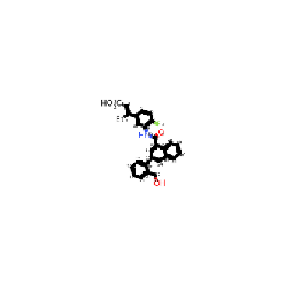 CC/C(=C\C(=O)O)c1ccc(F)c(NC(=O)c2cc(-c3ccccc3CO)cc3ccccc23)c1